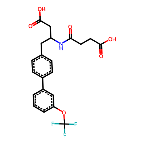 O=C(O)CCC(=O)NC(CC(=O)O)Cc1ccc(-c2cccc(OC(F)(F)F)c2)cc1